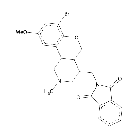 COc1cc(Br)c2c(c1)C1CN(C)CC(CN3C(=O)c4ccccc4C3=O)C1CO2